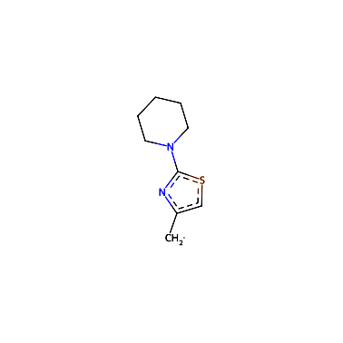 [CH2]c1csc(N2CCCCC2)n1